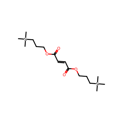 C[Si](C)(C)CCCOC(=O)C=CC(=O)OCCC[Si](C)(C)C